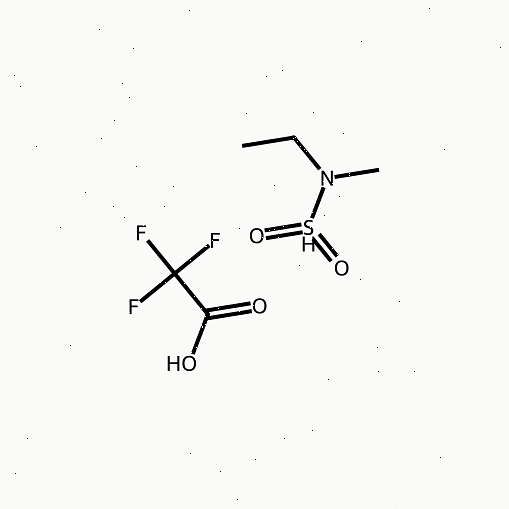 CCN(C)[SH](=O)=O.O=C(O)C(F)(F)F